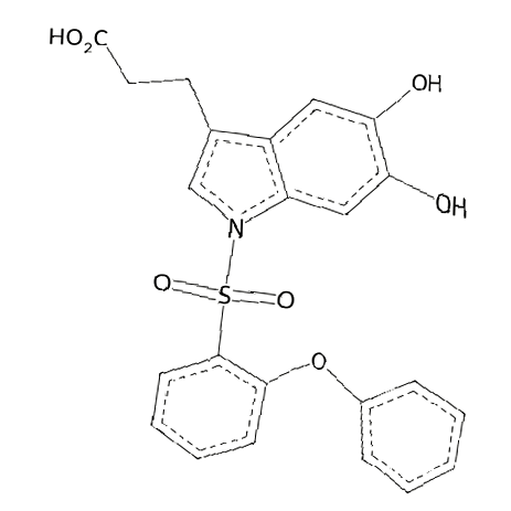 O=C(O)CCc1cn(S(=O)(=O)c2ccccc2Oc2ccccc2)c2cc(O)c(O)cc12